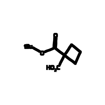 CC(C)(C)OC(=O)C1(C(=O)O)CCC1